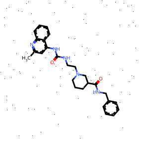 Cc1cc(NC(=O)NCCN2CCCC(C(=O)NCc3ccccc3)C2)c2ccccc2n1